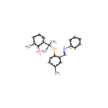 Cc1ccc(PC(C)(C)c2cccc(C)c2O)c(/C=N/c2ccccc2)c1